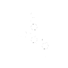 C=CC(=O)Nc1cccc(N2C(=O)N(C3CC3)Cc3cnc(Nc4ccc(OC)cn4)nc32)c1